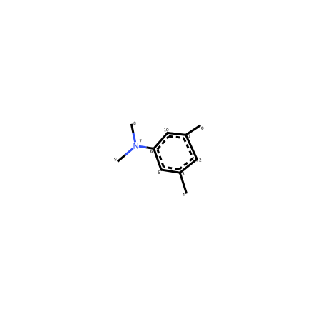 Cc1[c]c(C)cc(N(C)C)c1